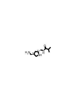 CC(C)C(=O)NC[C@H]1C[C@H](CN)CN1